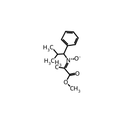 COC(=O)C(C)=[N+]([O-])C(c1ccccc1)C(C)C